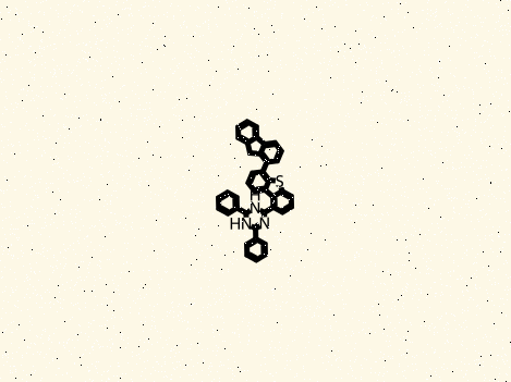 c1ccc(C2=NC(c3cccc4sc5c(-c6cccc7c6Cc6ccccc6-7)cccc5c34)NC(c3ccccc3)N2)cc1